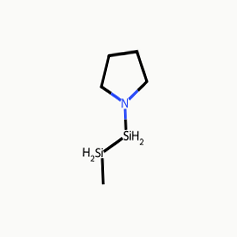 C[SiH2][SiH2]N1CCCC1